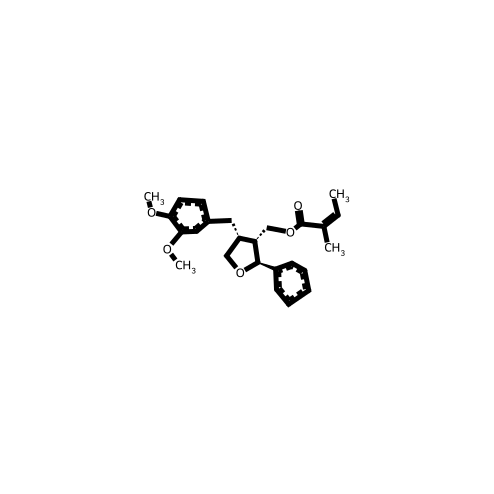 C/C=C(/C)C(=O)OC[C@H]1[C@@H](Cc2ccc(OC)c(OC)c2)CO[C@@H]1c1ccccc1